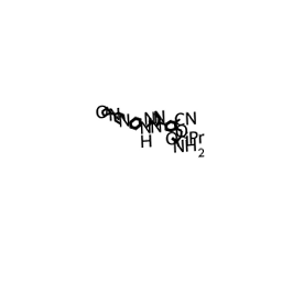 CC(C)[C@H](Oc1ccc(-c2ncnc(Nc3ccc(N4CCN(C5COC5)CC4)cc3)n2)cc1C#N)C(N)=O